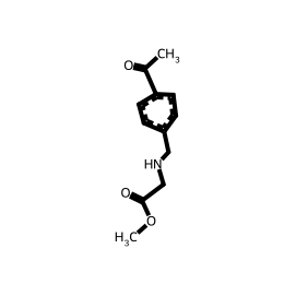 COC(=O)CNCc1ccc(C(C)=O)cc1